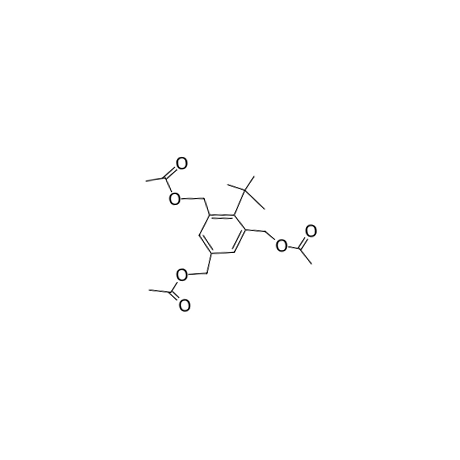 CC(=O)OCc1cc(COC(C)=O)c(C(C)(C)C)c(COC(C)=O)c1